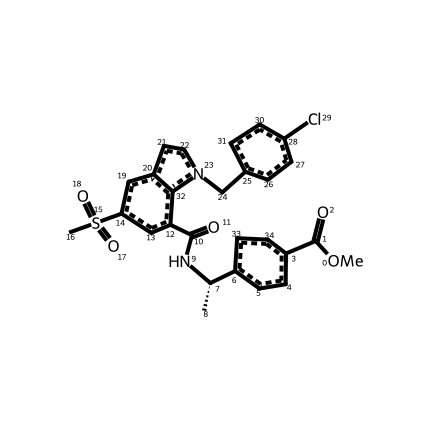 COC(=O)c1ccc([C@H](C)NC(=O)c2cc(S(C)(=O)=O)cc3ccn(Cc4ccc(Cl)cc4)c23)cc1